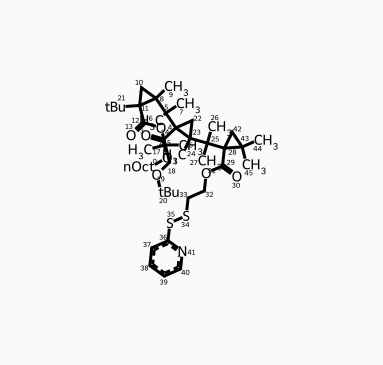 CCCCCCCCOC(=O)C1(C(C)(C)C2(C)CC2(C(=O)OC(C)(C)COC(C)(C)C)C(C)(C)C)CC1(C)C(C)(C)C1(C(=O)OCCSSc2ccccn2)CC1(C)C